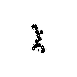 Brc1cccc2oc3ccc(-c4ccc5c6cc7sc8c(-c9cccc(-n%10c%11ccc(-c%12ccc%13sc%14cccc(Br)c%14c%13c%12)cc%11c%11cc%12c(cc%11%10)sc%10ccccc%10%12)c9)cccc8c7cc6n(-c6ccccc6)c5c4)cc3c12